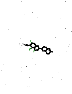 Cc1ccc2cc(-c3cc(F)c4c(F)c(C#CC(F)(F)F)c(F)cc4c3)ccc2c1